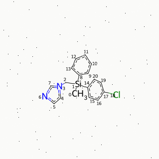 C[Si](Cn1ccnc1)(c1ccccc1)c1ccc(Cl)cc1